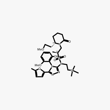 COCC[C@@H]1CCCC(=O)N1C[C@H](C)S(=O)(=O)N(CC[Si](C)(C)C)c1nnc(-c2ccc(C)o2)n1-c1c(OC)cccc1OC